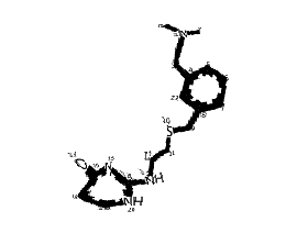 CN(C)Cc1cccc(CSCCNc2nc(=O)cc[nH]2)c1